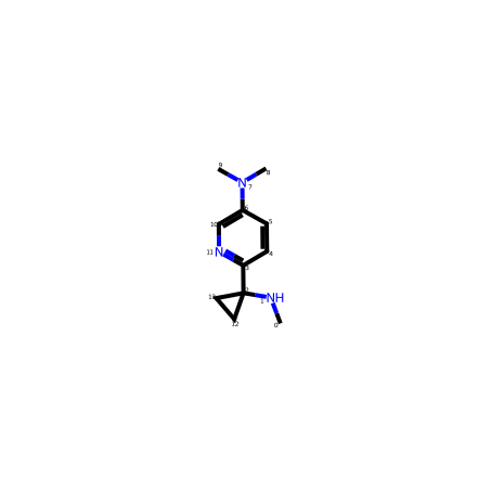 CNC1(c2ccc(N(C)C)cn2)CC1